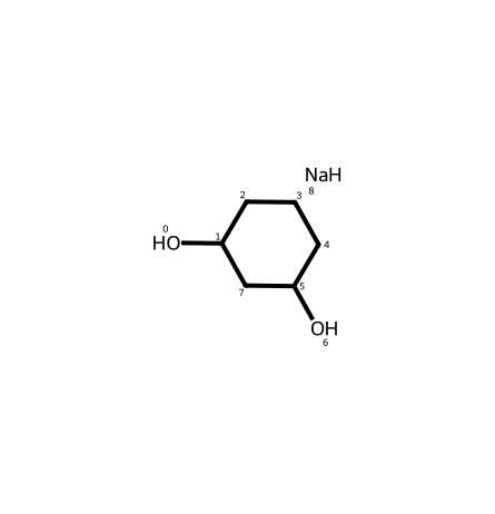 OC1CCCC(O)C1.[NaH]